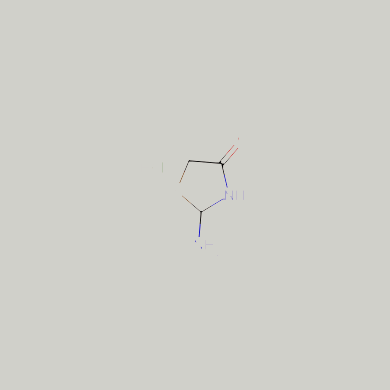 Cl.NC1NC(=O)CS1